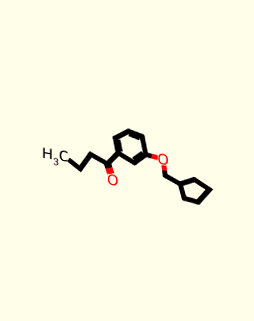 CCCC(=O)c1cccc(OCC2CCCC2)c1